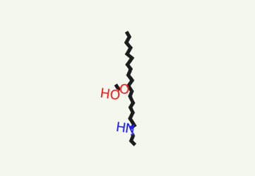 CC(=O)O.CCCCCCCCCCCCCCCCCCNCCC